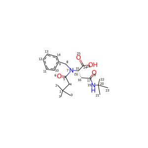 CC(C)(C)CC(=O)N(Cc1ccccc1)[C@@H](CC(=O)NC(C)(C)C)C(=O)O